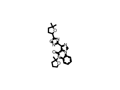 CC1(C)CCC(c2nc(-c3ncn4c3c(=O)n(C3(C)CCCO3)c3ccccc34)no2)O1